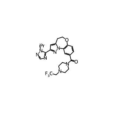 CC(C)n1ncnc1-c1cc2n(n1)-c1cc(C(=O)N3CCN(CC(F)(F)F)CC3)ccc1OCC2